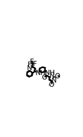 COc1cc(C(=O)N[C@@H]2CCC[C@H](Nc3cc(C(F)(F)F)nc4ccccc34)C2)nc(OC)n1